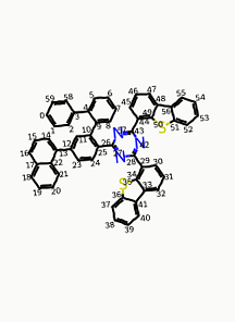 c1ccc(-c2ccccc2-c2cc(-c3cccc4ccccc34)ccc2-c2nc(-c3cccc4c3sc3ccccc34)nc(-c3cccc4c3sc3ccccc34)n2)cc1